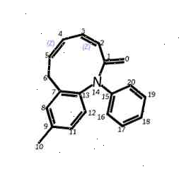 C=C1/C=C\C=C/Cc2cc(C)ccc2N1c1ccccc1